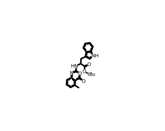 Cc1cccc2nc(NC(Cc3c[nH]c4ccccc34)C(=O)OC(C)(C)C)oc(=O)c12